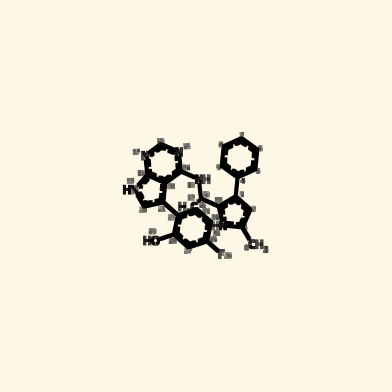 Cc1cc(-c2ccccc2)c([C@H](C)Nc2ncnc3[nH]cc(-c4ccc(F)cc4O)c23)[nH]1